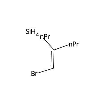 CCCC(=CBr)CCC.[SiH4]